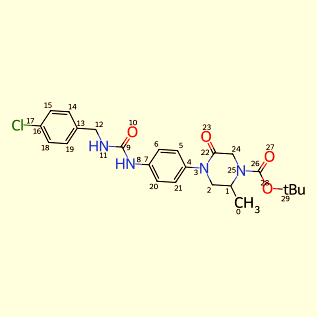 CC1CN(c2ccc(NC(=O)NCc3ccc(Cl)cc3)cc2)C(=O)CN1C(=O)OC(C)(C)C